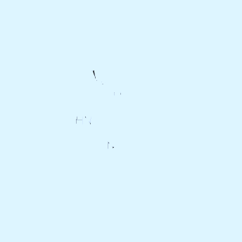 C[C@@H]1CNc2nc3c[c]ccc3cc2O1